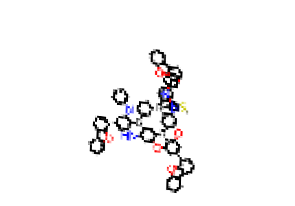 CSN1c2cc3c(cc2B2c4ccccc4N(c4ccccc4)c4cc(-c5cccc6c5oc5ccccc56)cc1c42)B1c2cc4c(cc2Oc2cc(-c5cccc6c5oc5ccccc56)cc(c21)O3)Nc1cc(-c2cccc3c2oc2ccccc23)cc2c1B4c1ccccc1N2c1ccccc1